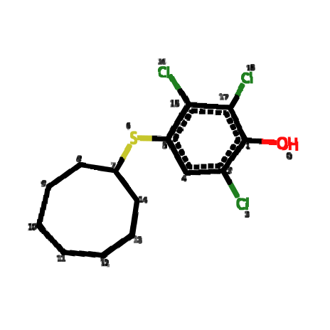 Oc1c(Cl)cc(SC2CCCCCCC2)c(Cl)c1Cl